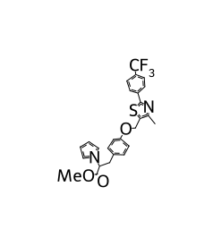 COC(=O)C(Cc1ccc(OCc2sc(-c3ccc(C(F)(F)F)cc3)nc2C)cc1)n1cccc1